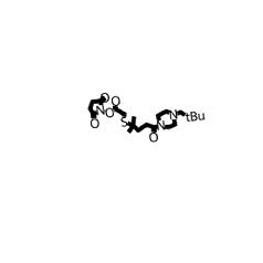 CC(C)(C)CN1CCN(C(=O)CCC(C)(C)SCC(=O)ON2C(=O)CCC2=O)CC1